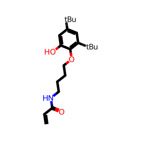 C=CC(=O)NCCCCOc1c(O)cc(C(C)(C)C)cc1C(C)(C)C